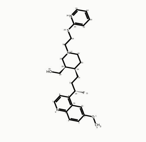 COc1ccc2nccc([C@@H](F)CC[C@@H]3CCN(CCSc4ccccn4)C[C@@H]3CO)c2c1